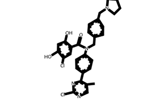 Cc1cnc(Cl)nc1-c1ccc(N(Cc2ccc(CN3CCCC3)cc2)C(=O)c2cc(Cl)c(O)cc2O)cc1